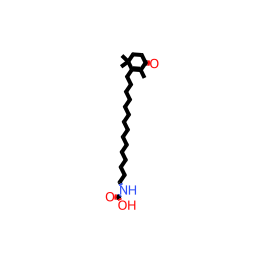 CC1=C(CCCCCCCCCCCCCCCNC(=O)O)C(C)(C)CCC1=O